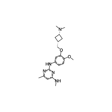 CNc1cc(C)nc(Nc2ccc(OC)c(OC[C@H]3C[C@@H](N(C)C)C3)c2)n1